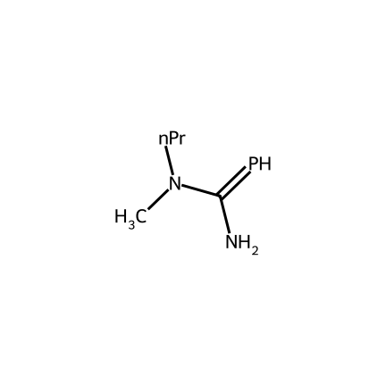 CCCN(C)C(N)=P